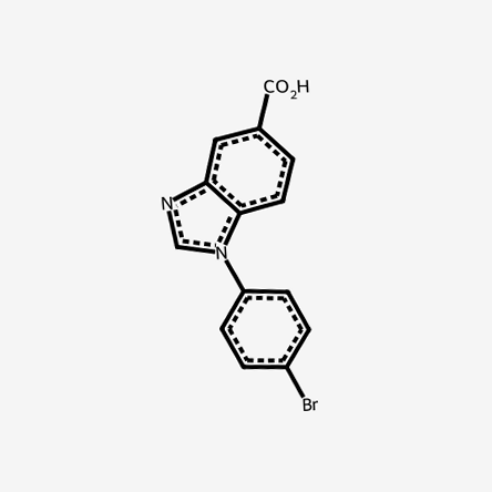 O=C(O)c1ccc2c(c1)ncn2-c1ccc(Br)cc1